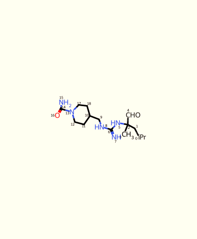 CC(C)CC(C)(C=O)NC(=N)NCC1CCN(C(N)=O)CC1